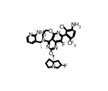 C[C@H](c1cccnc1N)N1CCOc2nc(-c3c(C(F)(F)F)ccc(N)c3Cl)c(F)c3nc(OC[C@@]45CCCN4C[C@H](F)C5)nc1c23